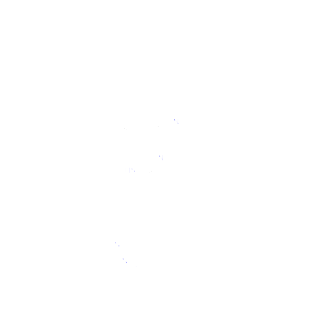 NN=Cc1cccc(NC(=O)N2c3ccccc3CN(CCc3ccccc3)C(=O)C2CC(=O)O)c1